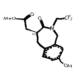 COC(=O)C[C@@H]1Cc2ccc(O)cc2CN(CC(F)(F)F)C1=O